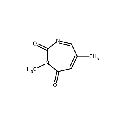 Cc1cnc(=O)n(C)c(=O)c1